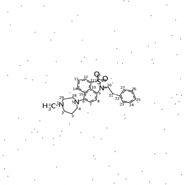 CN1CCCN(c2ccc3c4c(cccc24)S(=O)(=O)N3CCc2ccccc2)CC1